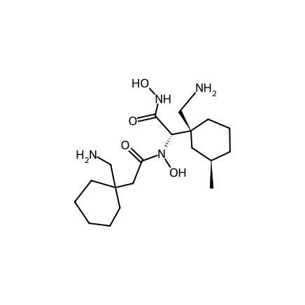 C[C@@H]1CCC[C@@](CN)([C@@H](C(=O)NO)N(O)C(=O)CC2(CN)CCCCC2)C1